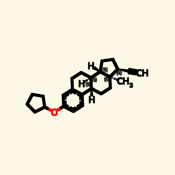 C#C[C@@H]1CC[C@H]2[C@@H]3CCc4cc(OC5CCCC5)ccc4[C@H]3CC[C@]12C